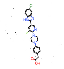 O=C(O)Cc1ccc(N2CCN(c3ncc(-c4nc5cc(Cl)ccc5[nH]4)cc3F)CC2)cc1